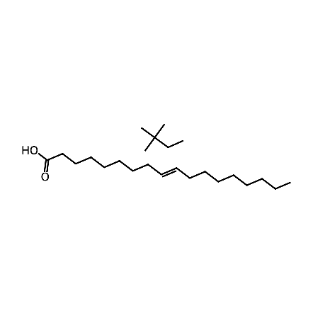 CCC(C)(C)C.CCCCCCCCC=CCCCCCCCC(=O)O